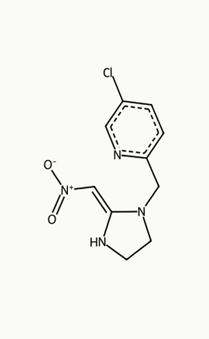 O=[N+]([O-])C=C1NCCN1Cc1ccc(Cl)cn1